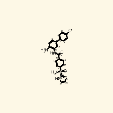 Nc1ccc(-c2ccc(F)cc2)cc1NC(=O)c1ccc([SH](N)(=O)c2ncc[nH]2)cc1